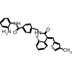 Cc1csc(C=C(C(=O)NCc2ccc(C(=O)Nc3ccccc3N)cc2)c2ccccc2F)c1